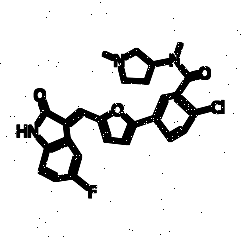 CN1CCC(N(C)C(=O)c2cc(-c3ccc(/C=C4/C(=O)Nc5ccc(F)cc54)o3)ccc2Cl)C1